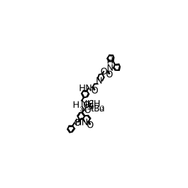 CC(C)(C)[Si](C)(C)O[C@H](CNCc1ccc(NC(=O)CCN2CCC(OC(=O)Nc3ccccc3-c3ccccc3)CC2)cc1)c1ccc(OCc2ccccc2)c2[nH]c(=O)ccc12